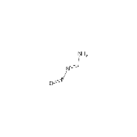 NC=NP=O